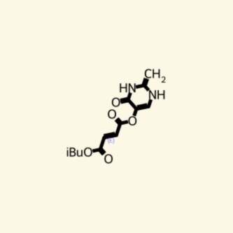 C=C1NC=C(OC(=O)/C=C/C(=O)OCC(C)C)C(=O)N1